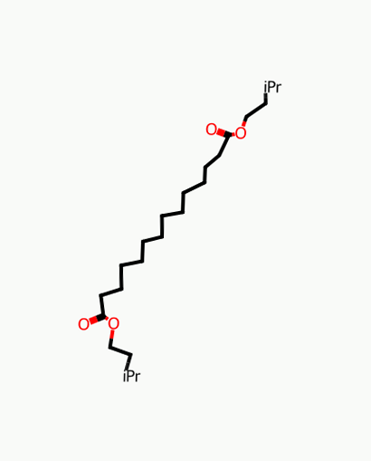 CC(C)CCOC(=O)CCCCCCCCCCCCC(=O)OCCC(C)C